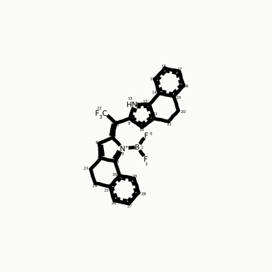 FB(F)[N+]1=C2C(=C/C1=C(/c1cc3c([nH]1)-c1ccccc1CC3)C(F)(F)F)CCc1ccccc12